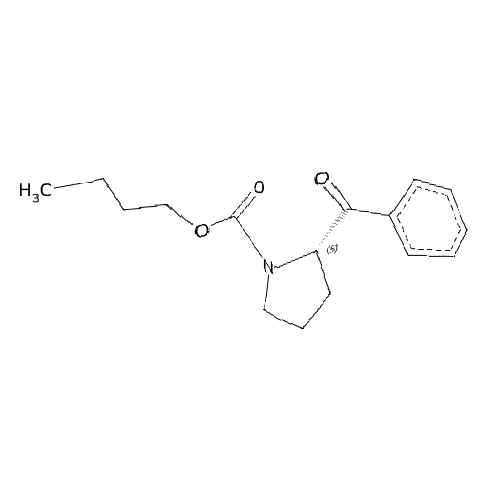 CCCCOC(=O)N1CCC[C@H]1C(=O)c1ccccc1